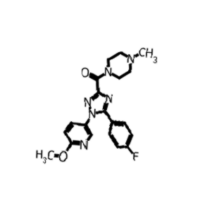 COc1ccc(-n2nc(C(=O)N3CCN(C)CC3)nc2-c2ccc(F)cc2)cn1